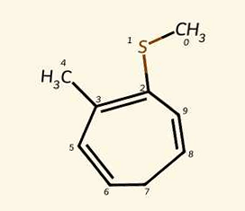 CSC1=C(C)C=CCC=C1